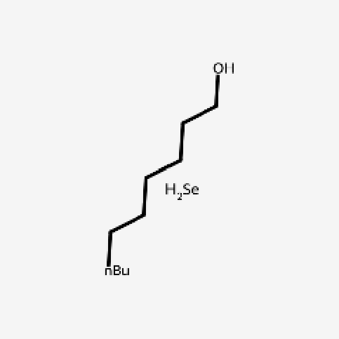 CCCCCCCCCCO.[SeH2]